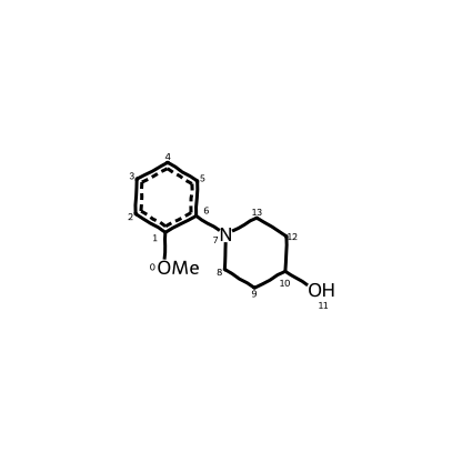 COc1ccccc1N1CCC(O)CC1